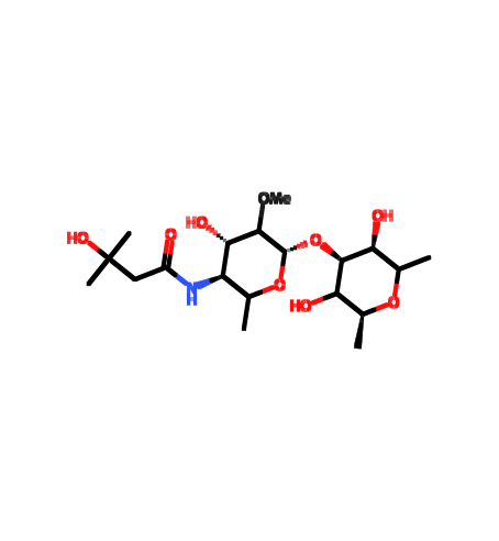 COC1[C@H](O[C@@H]2C(O)[C@H](C)OC(C)[C@@H]2O)OC(C)[C@@H](NC(=O)CC(C)(C)O)[C@@H]1O